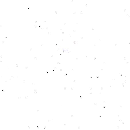 CC1(C)C(=O)C(C)(C)C1NO